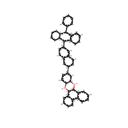 c1ccc(-c2c3ccccc3c(-c3ccc4cc(-c5ccc6c(c5)Oc5c(c7ccccc7c7ccccc57)O6)ccc4c3)c3ccccc23)cc1